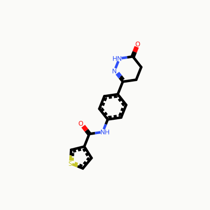 O=C1CCC(c2ccc(NC(=O)c3ccsc3)cc2)=NN1